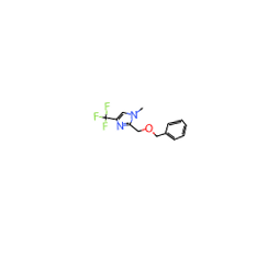 Cn1cc(C(F)(F)F)nc1COCc1ccccc1